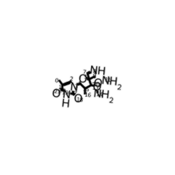 Cc1cn(C2OC(C=N)(CON)C(ON)C2C)c(=O)[nH]c1=O